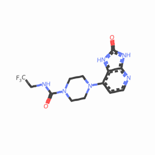 O=C(NCC(F)(F)F)N1CCN(c2ccnc3[nH]c(=O)[nH]c23)CC1